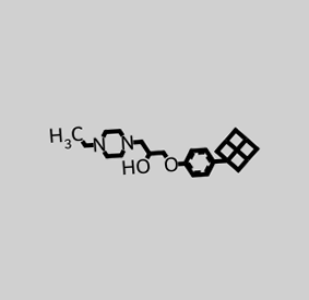 CCN1CCN(CC(O)COc2ccc(C34CC5CC6CC(C3)C654)cc2)CC1